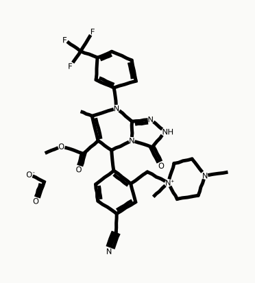 COC(=O)C1=C(C)N(c2cccc(C(F)(F)F)c2)c2n[nH]c(=O)n2C1c1ccc(C#N)cc1C[N+]1(C)CCN(C)CC1.O=C[O-]